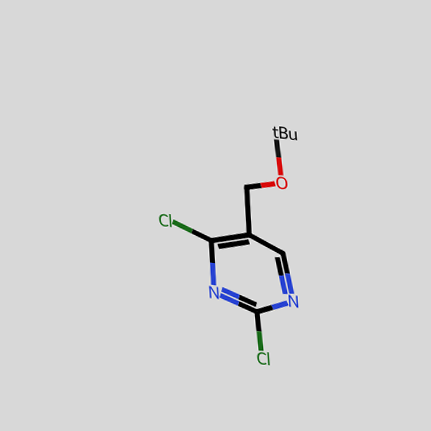 CC(C)(C)OCc1cnc(Cl)nc1Cl